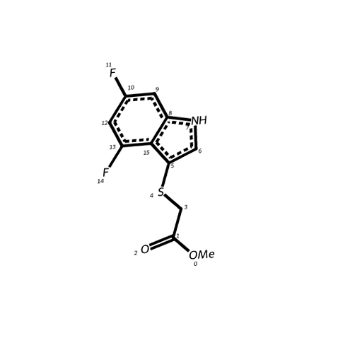 COC(=O)CSc1c[nH]c2cc(F)cc(F)c12